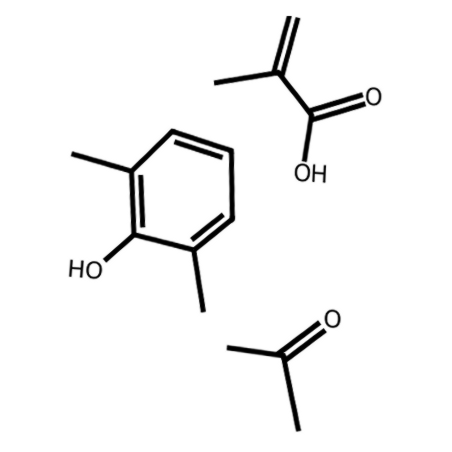 C=C(C)C(=O)O.CC(C)=O.Cc1cccc(C)c1O